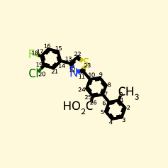 Cc1ccccc1-c1ccc(-c2nc(-c3ccc(F)c(Cl)c3)cs2)cc1C(=O)O